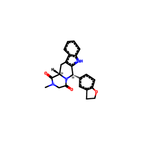 CN1CC(=O)N2[C@@H](c3ccc4c(c3)CCO4)c3[nH]c4ccccc4c3C[C@H]2C1=O